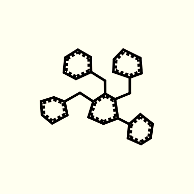 c1ccc(Cc2ccc(-c3ccccc3)c(Cc3ccccc3)c2Cc2ccccc2)cc1